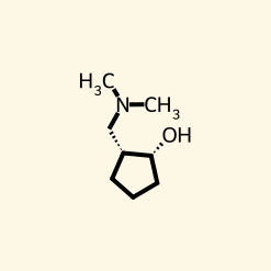 CN(C)C[C@H]1CCC[C@H]1O